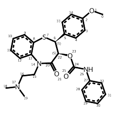 COc1ccc([C@@H]2Sc3ccccc3N(CCN(C)C)C(=O)[C@@H]2OC(=O)Nc2ccccc2)cc1